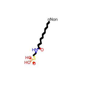 CCCCCCCCCC=CC=CC=CC=CC=CC(=O)NCCSP(=O)(O)O